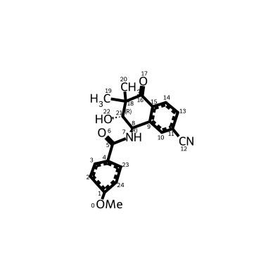 COc1ccc(C(=O)N[C@@H]2c3cc(C#N)ccc3C(=O)C(C)(C)[C@H]2O)cc1